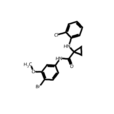 COc1cc(NC(=O)C2(Nc3ccccc3Cl)CC2)ccc1Br